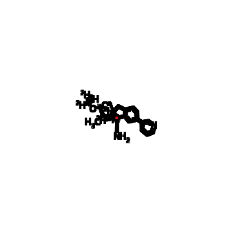 [2H]C([2H])([2H])O[C@@H]1CC[C@]2(Cc3ccc(-c4cccnc4)cc3[C@]23N=C(N)OC3([2H])[2H])C[C@H]1C